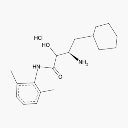 Cc1cccc(C)c1NC(=O)C(O)[C@H](N)CC1CCCCC1.Cl